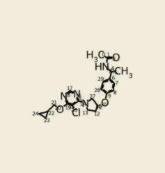 CC(=O)N[C@@H](C)c1ccc(O[C@@H]2CCN(c3ncnc(OCC4CC4)c3Cl)C2)cc1